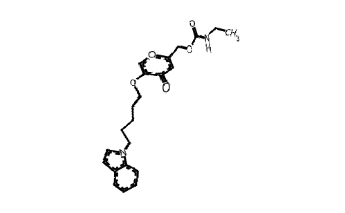 CCNC(=O)OCc1cc(=O)c(OCCCCCn2ccc3ccccc32)co1